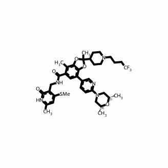 CSc1cc(C)[nH]c(=O)c1CNC(=O)c1cc(-c2ccc(N3C[C@@H](C)O[C@@H](C)C3)nc2)c2c(c1C)OC(C)(C1CCN(CCCC(F)(F)F)CC1)O2